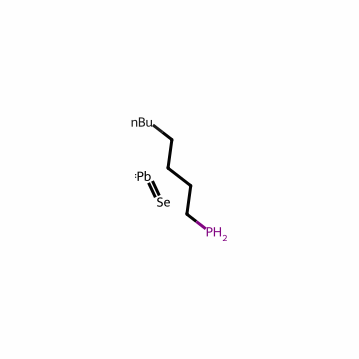 CCCCCCCCP.[Se]=[Pb]